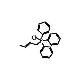 CC=CCP(Cl)(c1ccccc1)(c1ccccc1)c1ccccc1